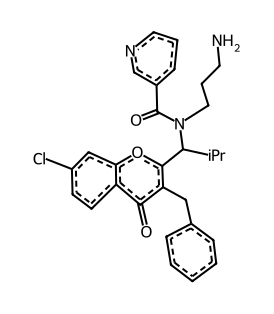 CC(C)C(c1oc2cc(Cl)ccc2c(=O)c1Cc1ccccc1)N(CCCN)C(=O)c1cccnc1